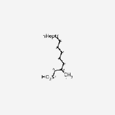 CCCCCCCCCCCCC(C)CS(=O)(=O)O